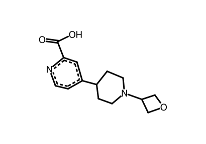 O=C(O)c1cc(C2CCN(C3COC3)CC2)ccn1